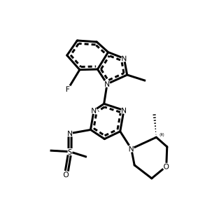 Cc1nc2cccc(F)c2n1-c1nc(N=S(C)(C)=O)cc(N2CCOC[C@H]2C)n1